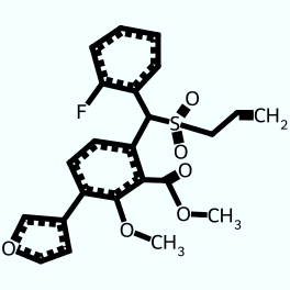 C=CCS(=O)(=O)C(c1ccccc1F)c1ccc(-c2ccoc2)c(OC)c1C(=O)OC